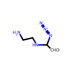 [N-]=[N+]=NC([C]=O)NCCN